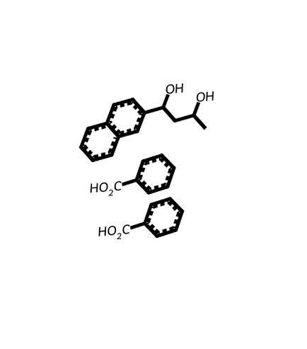 CC(O)CC(O)c1ccc2ccccc2c1.O=C(O)c1ccccc1.O=C(O)c1ccccc1